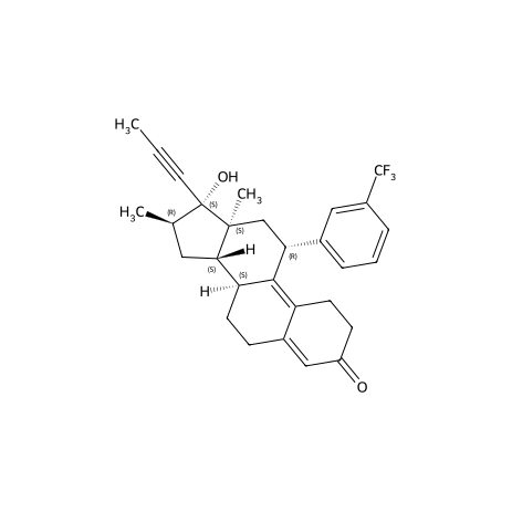 CC#C[C@]1(O)[C@H](C)C[C@H]2[C@@H]3CCC4=CC(=O)CCC4=C3[C@@H](c3cccc(C(F)(F)F)c3)C[C@@]21C